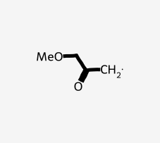 [CH2]C(=O)COC